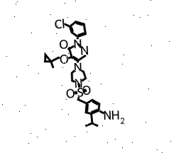 CC(C)c1cc(CS(=O)(=O)N2CCN(c3cnn(-c4cccc(Cl)c4)c(=O)c3OCC3(C)CC3)CC2)ccc1N